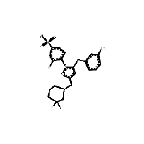 Cc1cccc(Cc2cc(CN3CCCC(F)(F)C3)nn2-c2ccc(S(N)(=O)=O)cc2F)c1